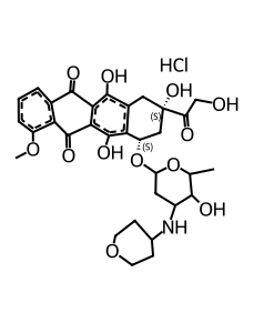 COc1cccc2c1C(=O)c1c(O)c3c(c(O)c1C2=O)C[C@@](O)(C(=O)CO)C[C@@H]3OC1CC(NC2CCOCC2)C(O)C(C)O1.Cl